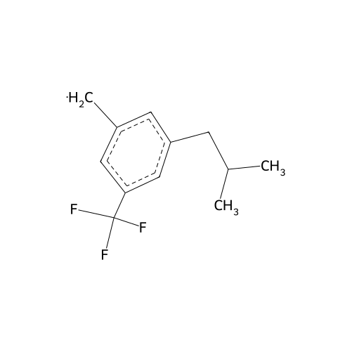 [CH2]c1cc(CC(C)C)cc(C(F)(F)F)c1